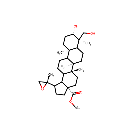 CCCCOC(=O)[C@]12CCC([C@@]3(C)CO3)C1C1CCC3[C@@]4(C)CC[C@H](O)[C@@](C)(CO)C4CC[C@@]3(C)[C@]1(C)CC2